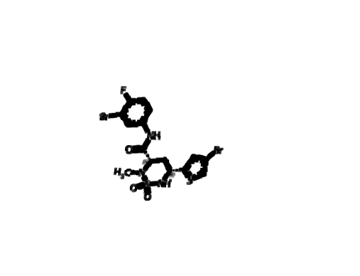 CN1[C@H](C(=O)Nc2ccc(F)c(Br)c2)C[C@H](c2cc(Br)cs2)NS1(=O)=O